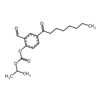 CCCCCCCC(=O)c1ccc(OC(=O)OC(C)C)c([C]=O)c1